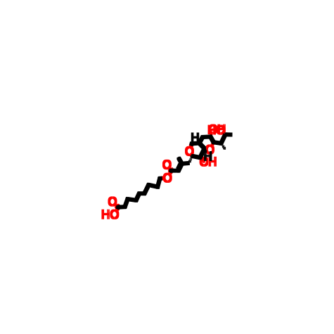 C/C(=C\C(=O)OCCCCCCCCC(=O)O)C[C@@H]1OC[C@@H]2C[C@H](O)[C@@H]([C@@H](C)C(C)O)O[C@H]2[C@H]1O